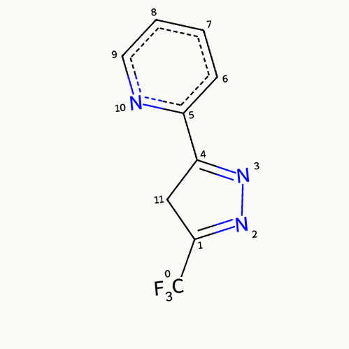 FC(F)(F)C1=NN=C(c2ccccn2)C1